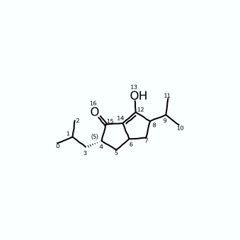 CC(C)C[C@H]1CC2CC(C(C)C)C(O)=C2C1=O